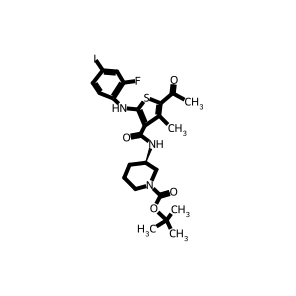 CC(=O)c1sc(Nc2ccc(I)cc2F)c(C(=O)N[C@@H]2CCCN(C(=O)OC(C)(C)C)C2)c1C